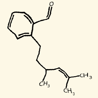 CC(C)=CC(C)CCc1ccccc1C=O